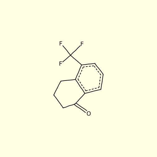 O=C1CCCc2c1cccc2C(F)(F)F